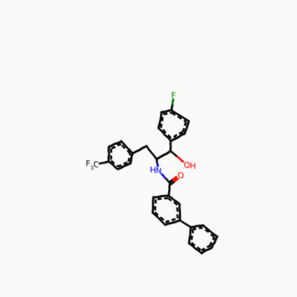 O=C(NC(Cc1ccc(C(F)(F)F)cc1)C(O)c1ccc(F)cc1)c1cccc(-c2ccccc2)c1